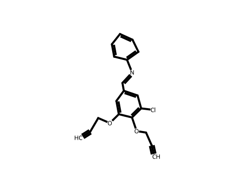 C#CCOc1cc(C=Nc2ccccc2)cc(Cl)c1OCC#C